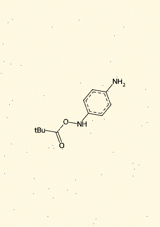 CC(C)(C)C(=O)ONc1ccc(N)cc1